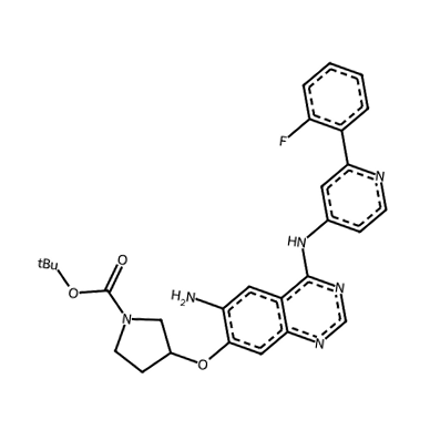 CC(C)(C)OC(=O)N1CCC(Oc2cc3ncnc(Nc4ccnc(-c5ccccc5F)c4)c3cc2N)C1